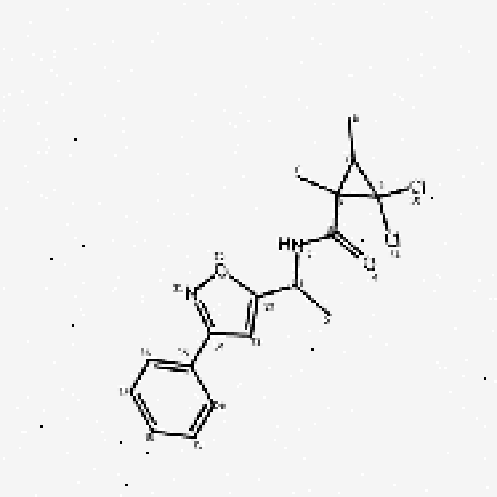 CC(NC(=O)C1(C)C(C)C1(Cl)Cl)c1cc(-c2ccccc2)no1